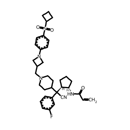 C=CC(=O)N[C@H]1CCC[C@@H]1C(C#N)(c1cccc(F)c1)C1CCN(CC2CN(c3ccc(S(=O)(=O)C4CCC4)cc3)C2)CC1